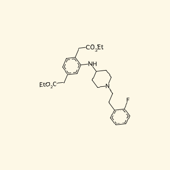 CCOC(=O)Cc1ccc(CC(=O)OCC)c(NC2CCN(CCc3ccccc3F)CC2)c1